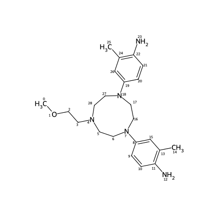 COCCN1CCN(c2ccc(N)c(C)c2)CCN(c2ccc(N)c(C)c2)CC1